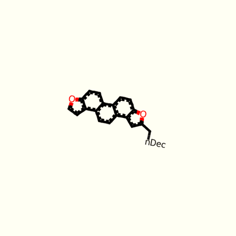 CCCCCCCCCCCc1cc2c(ccc3c2ccc2c4ccoc4ccc23)o1